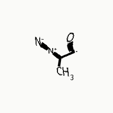 CC([C]=O)=[N+]=[N-]